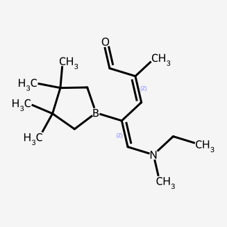 CCN(C)/C=C(\C=C(\C)C=O)B1CC(C)(C)C(C)(C)C1